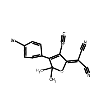 [C-]#[N+]C1=C(c2ccc(Br)cc2)C(C)(C)OC1=C(C#N)C#N